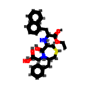 CCOC(=O)C(Cc1cccc2ccccc12)NC1CSCC(Cc2ccccc2)N(CC(=O)O)C1=O